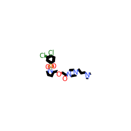 CN(C)CCCN1CCN(C(=O)COCC2CCCN2S(=O)(=O)c2ccc(Cl)c(Cl)c2)CC1